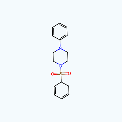 O=S(=O)(C1C=CC=CC1)N1CCN(c2ccccc2)CC1